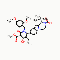 CCc1c(O)c(C(=O)OC)c(=O)n(Cc2ccc(OC)cc2OC)c1-c1ccc2c(c1)cc1n2CCN(C(=O)O)C1C(C)(C)C